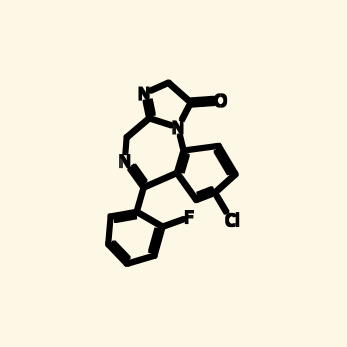 O=C1CN=C2CN=C(c3ccccc3F)c3cc(Cl)ccc3N12